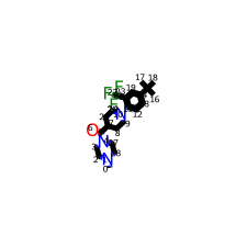 CN1CCN(C(=O)C2CCN(c3ccc(C(C)(C)C)cc3C(F)(F)F)CC2)CC1